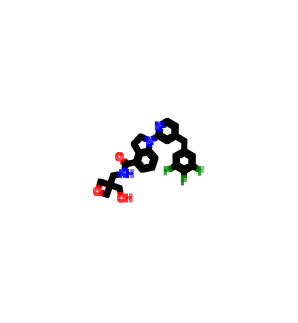 O=C(NCC1(CO)COC1)c1cccc2c1CCN2c1cc(Cc2cc(F)c(F)c(F)c2)ccn1